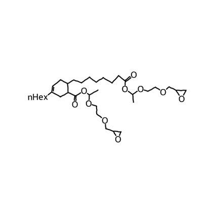 CCCCCCC1=CCC(CCCCCCCC(=O)OC(C)OCCOCC2CO2)C(C(=O)OC(C)OCCOCC2CO2)C1